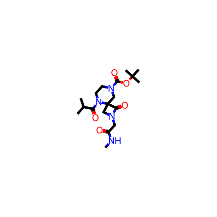 CNC(=O)CN1CC2(CN(C(=O)OC(C)(C)C)CCN2C(=O)C(C)C)C1=O